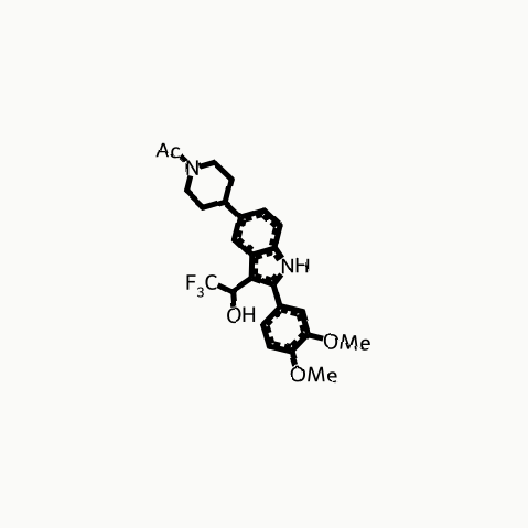 COc1ccc(-c2[nH]c3ccc(C4CCN(C(C)=O)CC4)cc3c2C(O)C(F)(F)F)cc1OC